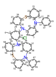 Cc1cc(N2c3cccc(c3)N(c3ccccc3)c3ccccc3Sc3ccccc32)c(Cl)c(N2c3cccc(c3)N(c3ccccc3)c3ccccc3Sc3ccccc32)c1